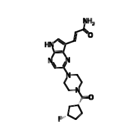 NC(=O)/C=C/c1c[nH]c2ncc(N3CCN(C(=O)[C@@H]4CC[C@H](F)C4)CC3)nc12